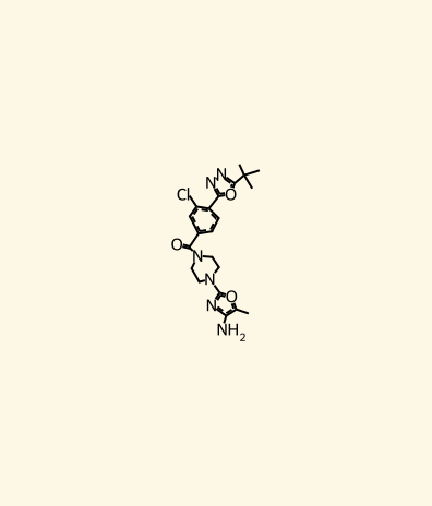 Cc1oc(N2CCN(C(=O)c3ccc(-c4nnc(C(C)(C)C)o4)c(Cl)c3)CC2)nc1N